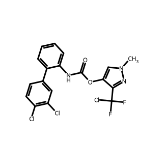 Cn1cc(OC(=O)Nc2ccccc2-c2ccc(Cl)c(Cl)c2)c(C(F)(F)Cl)n1